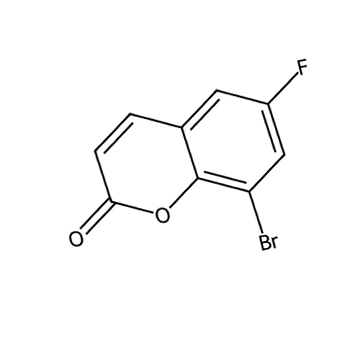 O=c1ccc2cc(F)cc(Br)c2o1